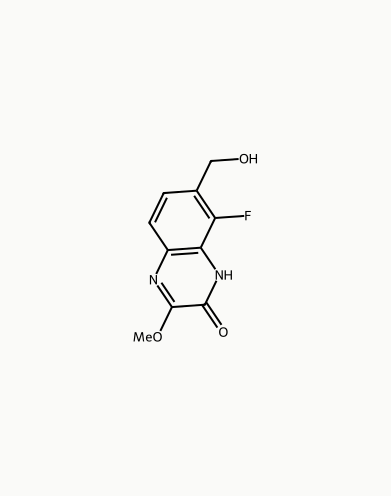 COc1nc2ccc(CO)c(F)c2[nH]c1=O